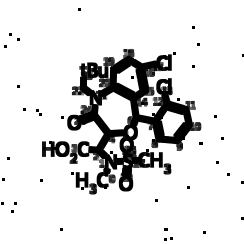 CN(C(C(=O)O)C1OC(c2ccccc2Cl)c2cc(Cl)ccc2N(CC(C)(C)C)C1=O)S(C)(=O)=O